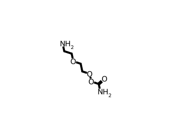 NCCOCCOOC(N)=O